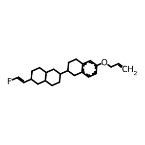 C=CCOc1ccc2c(c1)CCC(C1CCC3CC(C=CF)CCC3C1)C2